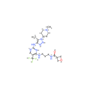 Cc1c(Nc2ncc(C(F)(F)F)c(NCCCNC(=O)C3COC3)n2)nnn1C1CCN(C)CC1